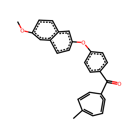 COc1ccc2cc(Oc3ccc(C(=O)C4=C=CC=C(C)C=C4)cc3)ccc2c1